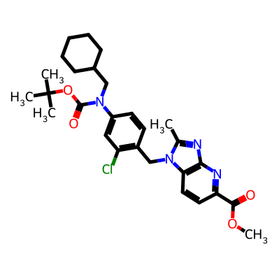 COC(=O)c1ccc2c(n1)nc(C)n2Cc1ccc(N(CC2CCCCC2)C(=O)OC(C)(C)C)cc1Cl